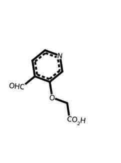 O=Cc1ccncc1OCC(=O)O